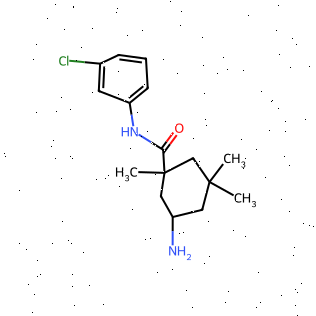 CC1(C)CC(N)CC(C)(C(=O)Nc2cccc(Cl)c2)C1